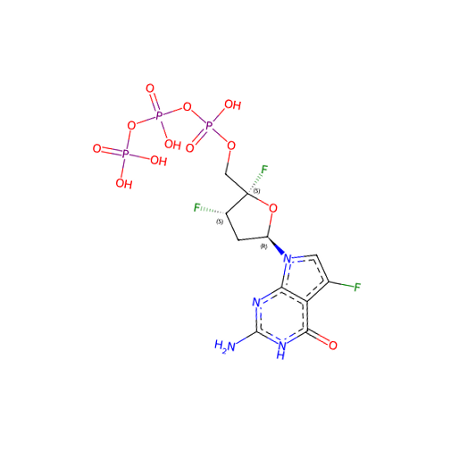 Nc1nc2c(c(F)cn2[C@H]2C[C@H](F)[C@@](F)(COP(=O)(O)OP(=O)(O)OP(=O)(O)O)O2)c(=O)[nH]1